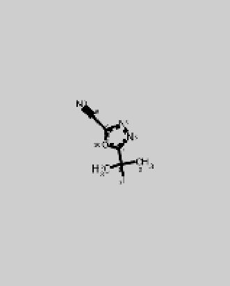 CC(C)(I)c1nnc(C#N)o1